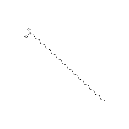 CCCCCCCCCCCCCCCCCCCCCCCCCCCN(O)O